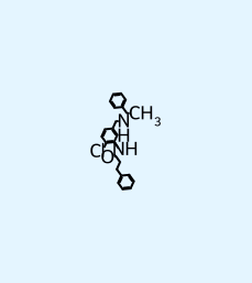 CC(NCc1ccc(Cl)c(NC(=O)CCc2ccccc2)c1)c1ccccc1